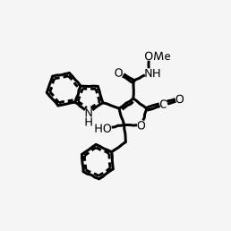 CONC(=O)C1=C(c2cc3ccccc3[nH]2)C(O)(Cc2ccccc2)OC1=C=O